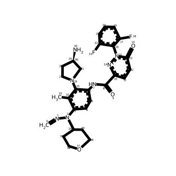 C=NN(c1ccc(NC(=O)c2ccc(=O)n(-c3c(F)cccc3F)n2)c(N2CC[C@@H](N)C2)c1C)C1CCOCC1